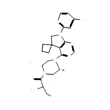 C[C@@H]1CN(c2ncnc3c2C2(CCC2)CN3c2cc(C#N)ccn2)[C@@H](C)CN1C(=O)[C@@](C)(C#N)CF